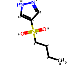 CCCCS(=O)(=O)c1cn[nH]c1